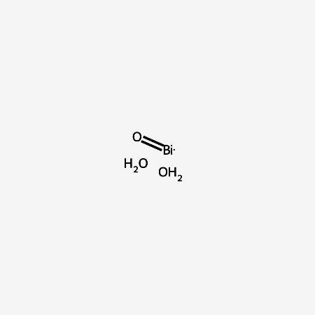 O.O.[O]=[Bi]